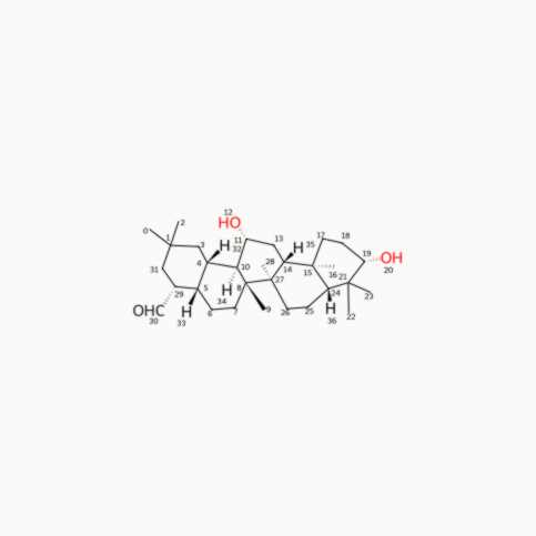 CC1(C)C[C@H]2[C@H](CC[C@]3(C)[C@@H]2[C@H](O)C[C@@H]2[C@@]4(C)CC[C@H](O)C(C)(C)[C@@H]4CC[C@]23C)[C@H](C=O)C1